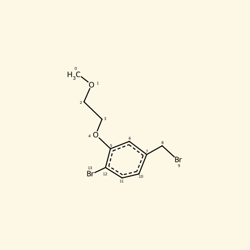 COCCOc1cc(CBr)ccc1Br